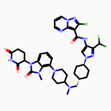 CN(C[C@H]1CC[C@H](n2cc(NC(=O)c3c(Cl)nn4cccnc34)c(C(F)F)n2)CC1)C1CCN(c2cccc3c2n(C)c(=O)n3C2CCC(=O)NC2=O)CC1